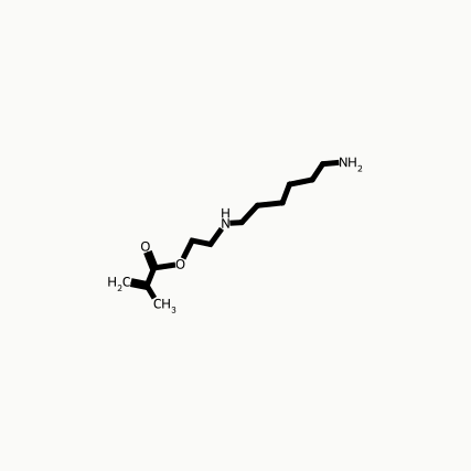 C=C(C)C(=O)OCCNCCCCCCN